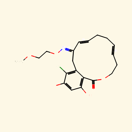 CNOCCO/N=C1/C=C/CC/C=C/CCOC(=O)c2c(O)cc(O)c(Cl)c2C1